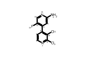 Nc1cc(-c2ccnc(Cl)c2Cl)c(F)cn1